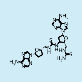 NC(=S)NC[C@H]1O[C@@H](n2cnc3c(N)ncnc32)CC1NC(=S)NC[C@@H]1CC[C@H](n2cnc3c(N)ncnc32)O1